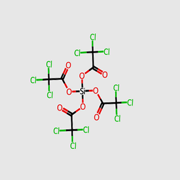 O=C(O[Si](OC(=O)C(Cl)(Cl)Cl)(OC(=O)C(Cl)(Cl)Cl)OC(=O)C(Cl)(Cl)Cl)C(Cl)(Cl)Cl